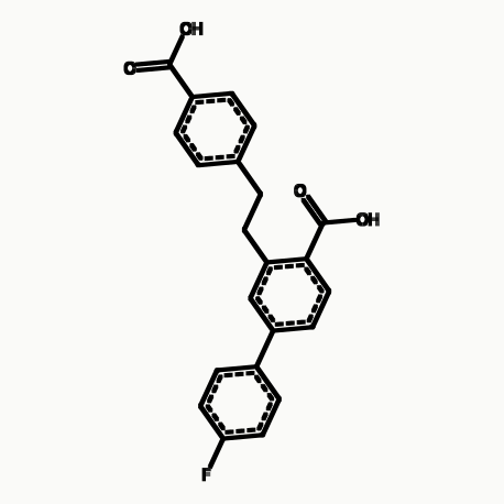 O=C(O)c1ccc(CCc2cc(-c3ccc(F)cc3)ccc2C(=O)O)cc1